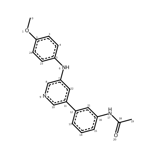 COc1ccc(Nc2cncc(-c3cccc(NC(C)=O)c3)c2)cc1